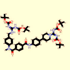 CN(C(=O)c1ccc(C(=O)Nc2ccc(C3=CCN(/C(=N\C(=O)OC(C)(C)C)NC(=O)OC(C)(C)C)CC3)cc2)cc1)c1ccc(CN/C(=N/C(=O)OC(C)(C)C)NC(=O)OC(C)(C)C)cc1